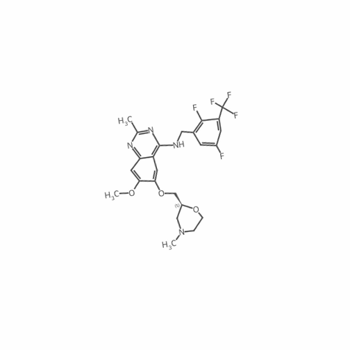 COc1cc2nc(C)nc(NCc3cc(F)cc(C(F)(F)F)c3F)c2cc1OC[C@@H]1CN(C)CCO1